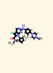 Cc1cc(Nc2ncc3c(F)c(C(=O)N(C)C)n(C4CCCC4)c3n2)ccc1N1CCN(C(C)C)CC1